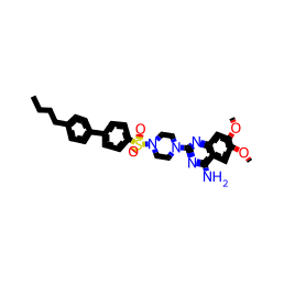 CCCCc1ccc(-c2ccc(S(=O)(=O)N3CCN(c4nc(N)c5cc(OC)c(OC)cc5n4)CC3)cc2)cc1